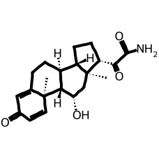 C[C@]12C[C@H](O)[C@H]3[C@@H](CCC4=CC(=O)C=C[C@@]43C)[C@@H]1CC[C@@H]2C(=O)C(N)=O